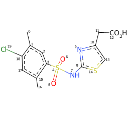 Cc1cc(S(=O)(=O)Nc2nc(CC(=O)O)cs2)c(C)cc1Cl